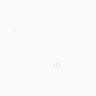 O=c1[nH]c2ccc(-c3cccnc3)cc2c2ccsc12